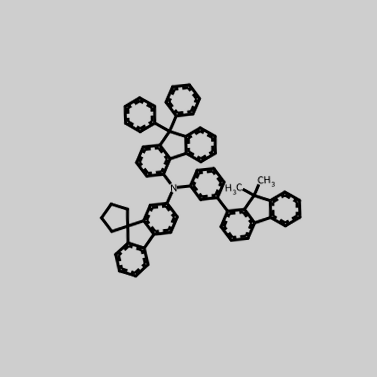 CC1(C)c2ccccc2-c2cccc(-c3cccc(N(c4ccc5c(c4)C4(CCCC4)c4ccccc4-5)c4cccc5c4-c4ccccc4C5(c4ccccc4)c4ccccc4)c3)c21